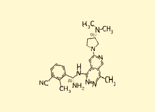 Cc1c(C#N)cccc1[C@@H](N)Nc1nnc(C)c2cnc(N3CC[C@H](N(C)C)C3)cc12